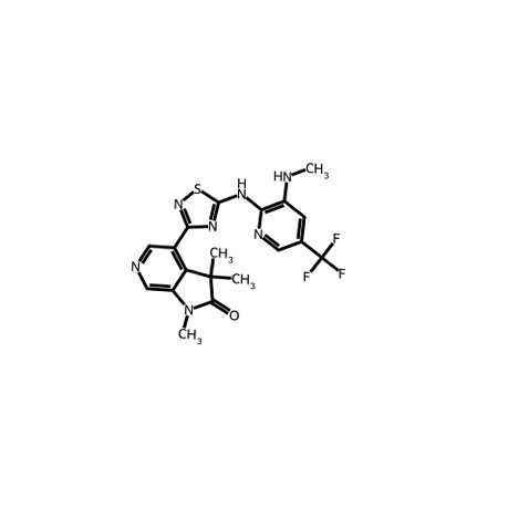 CNc1cc(C(F)(F)F)cnc1Nc1nc(-c2cncc3c2C(C)(C)C(=O)N3C)ns1